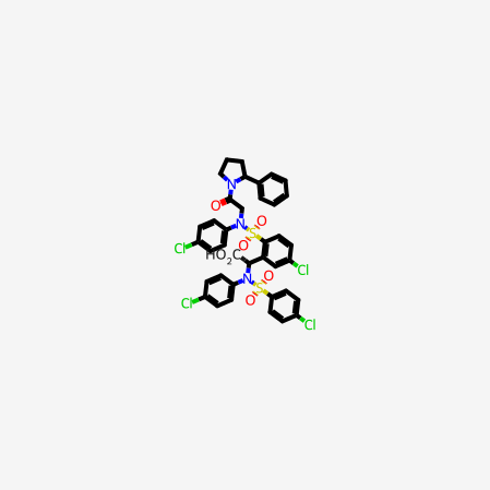 O=C(O)C(c1cc(Cl)ccc1S(=O)(=O)N(CC(=O)N1CCCC1c1ccccc1)c1ccc(Cl)cc1)N(c1ccc(Cl)cc1)S(=O)(=O)c1ccc(Cl)cc1